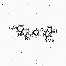 CSc1nc(Oc2ccc(-c3nnc(Nc4cccc(C(F)(F)F)c4)[nH]3)cc2)c2cc[nH]c2n1